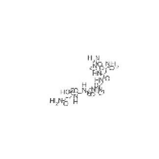 C[C@H](NC(=O)[C@@H]1CCCN1C(=O)CNC(=O)[C@H](CCC(N)=O)NC(=O)[C@@H]1CCCN1C(=O)CN)C(=O)NCC(=O)N[C@@H](CCC(N)=O)C(=O)O